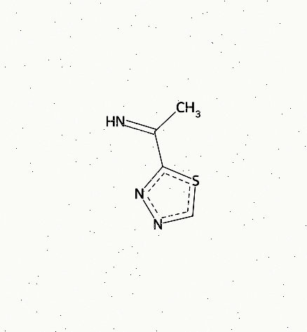 CC(=N)c1nncs1